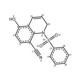 N#Cc1ccc(O)c2c1N(S(=O)(=O)c1ccccc1)CC=C2